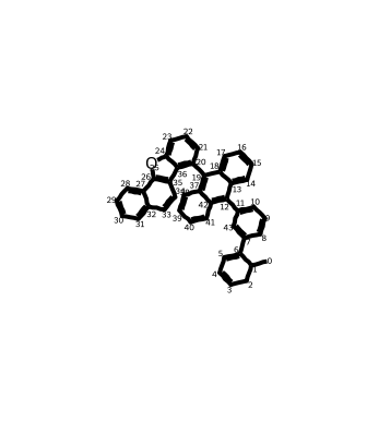 CC1CC=CC=C1c1cccc(-c2c3ccccc3c(-c3cccc4oc5c6ccccc6ccc5c34)c3ccccc23)c1